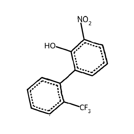 O=[N+]([O-])c1cccc(-c2ccc[c]c2C(F)(F)F)c1O